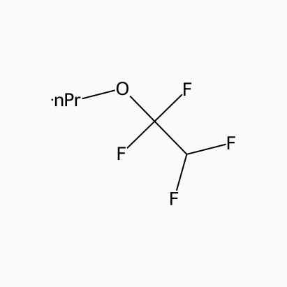 CC[CH]OC(F)(F)C(F)F